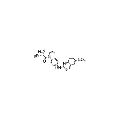 CCCC(N)C(=O)N(CCC)c1ccc(Nc2ncc3cc([N+](=O)[O-])ccc3n2)cc1